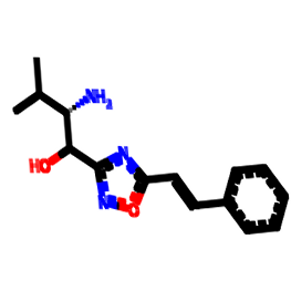 CC(C)[C@H](N)C(O)c1noc(/C=C/c2ccccc2)n1